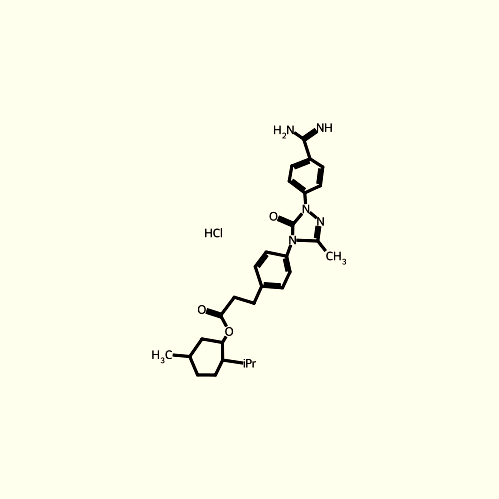 Cc1nn(-c2ccc(C(=N)N)cc2)c(=O)n1-c1ccc(CCC(=O)OC2CC(C)CCC2C(C)C)cc1.Cl